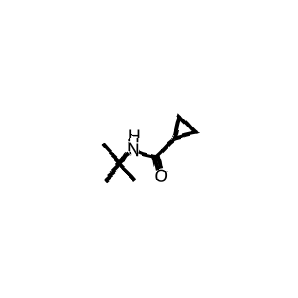 CC(C)(C)NC(=O)C1CC1